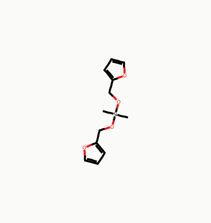 C[Si](C)(OCc1ccco1)OCc1ccco1